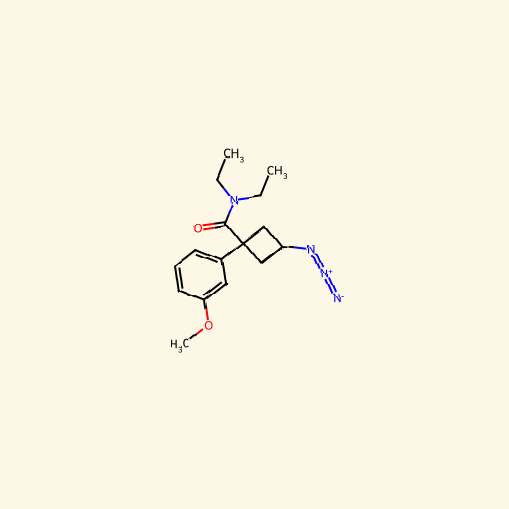 CCN(CC)C(=O)C1(c2cccc(OC)c2)CC(N=[N+]=[N-])C1